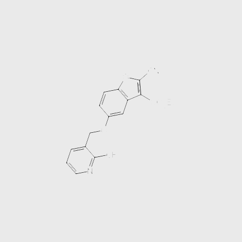 CCOC(=O)c1c(C#N)oc2ccc(OCc3cccnc3C(F)(F)F)cc12